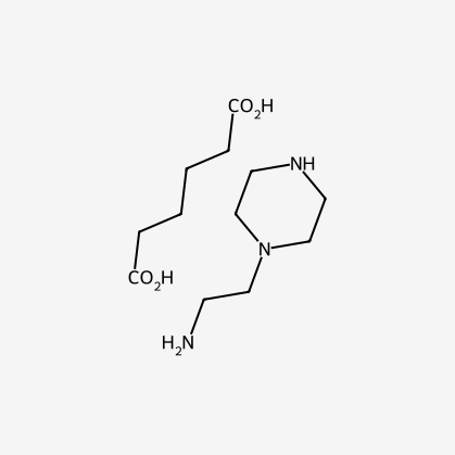 NCCN1CCNCC1.O=C(O)CCCCC(=O)O